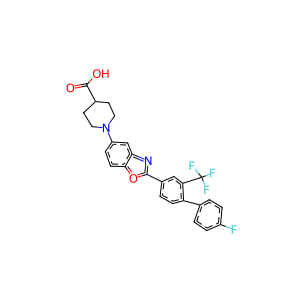 O=C(O)C1CCN(c2ccc3oc(-c4ccc(-c5ccc(F)cc5)c(C(F)(F)F)c4)nc3c2)CC1